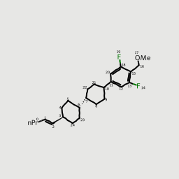 CCC/C=C/[C@H]1CC[C@H](C2CCC(c3cc(F)c(COC)c(F)c3)CC2)CC1